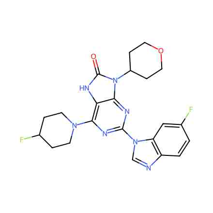 O=c1[nH]c2c(N3CCC(F)CC3)nc(-n3cnc4ccc(F)cc43)nc2n1C1CCOCC1